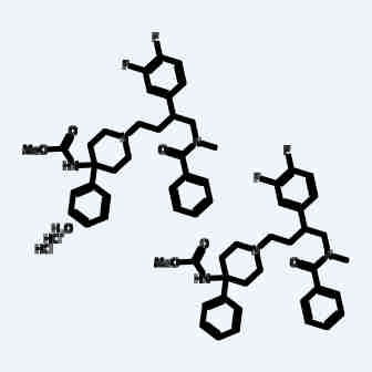 COC(=O)NC1(c2ccccc2)CCN(CCC(CN(C)C(=O)c2ccccc2)c2ccc(F)c(F)c2)CC1.COC(=O)NC1(c2ccccc2)CCN(CCC(CN(C)C(=O)c2ccccc2)c2ccc(F)c(F)c2)CC1.Cl.Cl.O